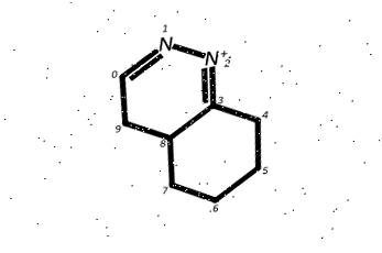 C1=N[N+]=C2CCCCC2C1